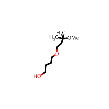 COC(C)(C)CCOCCCCO